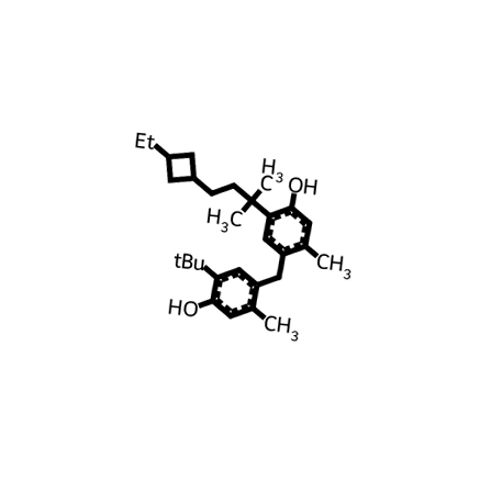 CCC1CC(CCC(C)(C)c2cc(Cc3cc(C(C)(C)C)c(O)cc3C)c(C)cc2O)C1